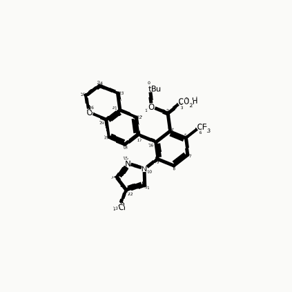 CC(C)(C)OC(C(=O)O)c1c(C(F)(F)F)ccc(-n2cc(Cl)cn2)c1-c1ccc2c(c1)CCCO2